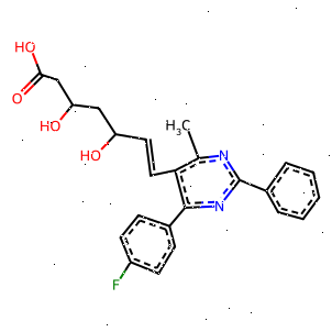 Cc1nc(-c2ccccc2)nc(-c2ccc(F)cc2)c1/C=C/C(O)CC(O)CC(=O)O